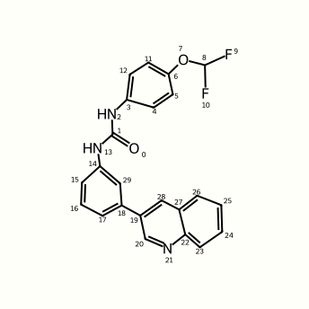 O=C(Nc1ccc(OC(F)F)cc1)Nc1cccc(-c2cnc3ccccc3c2)c1